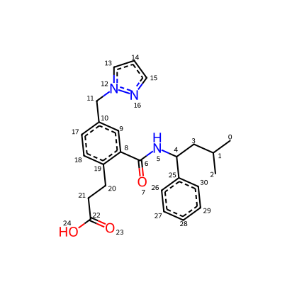 CC(C)CC(NC(=O)c1cc(Cn2cccn2)ccc1CCC(=O)O)c1ccccc1